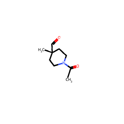 CC(=O)N1CCC(C)(C=O)CC1